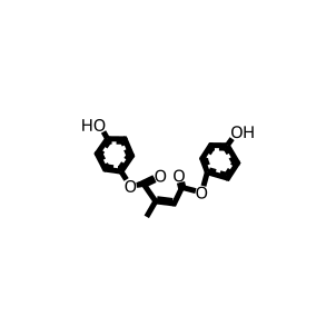 CC(=CC(=O)Oc1ccc(O)cc1)C(=O)Oc1ccc(O)cc1